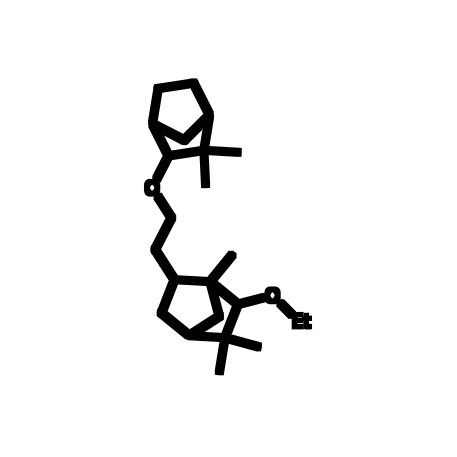 CCOC1C(C)(C)C2CC(CCOC3C4CCC(C4)C3(C)C)C1(C)C2